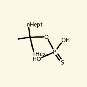 CCCCCCCC(C)(CCCCCC)OP(O)(O)=S